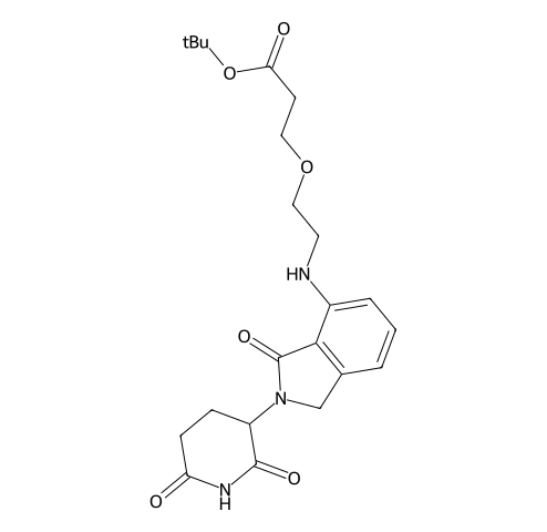 CC(C)(C)OC(=O)CCOCCNc1cccc2c1C(=O)N(C1CCC(=O)NC1=O)C2